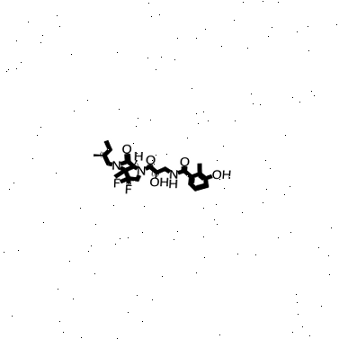 CC[C@H](C)CN1C(=O)[C@H]2N(C(=O)[C@@H](O)CNC(=O)c3cccc(O)c3C)CC(F)(F)C21C